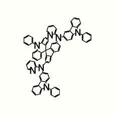 c1ccc(N2c3ccccc3C3(c4cc(N(c5ccc6c(c5)c5ccccc5n6-c5ccccc5)c5ccccn5)ccc4-c4ccc(N(c5ccc6c(c5)c5ccccc5n6-c5ccccc5)c5ccccn5)cc43)c3ccccc32)cc1